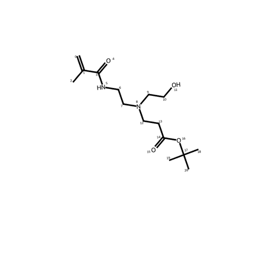 C=C(C)C(=O)NCCN(CCO)CCC(=O)OC(C)(C)C